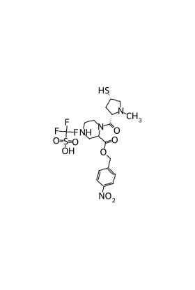 CN1C[C@@H](S)C[C@H]1C(=O)N1CCNCC1C(=O)OCc1ccc([N+](=O)[O-])cc1.O=S(=O)(O)C(F)(F)F